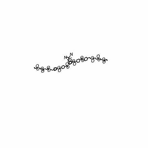 C=CC(=O)OCCOC(=O)CCC(=O)OCCc1ccc(OC(=O)C2CCC(C(=O)Oc3ccc(OC(=O)C4CCC(C(=O)OC5CCC(CCOC(=O)CCC(=O)OCCOC(=O)C=C)CC5)CC4)c4c3SC(=C(C#N)C#N)S4)CC2)cc1